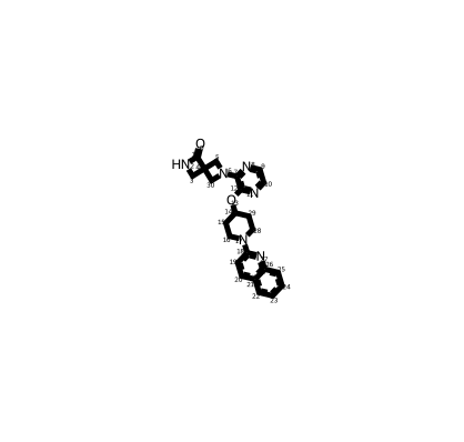 O=C1NCC12CN(c1nccnc1OC1CCN(c3ccc4ccccc4n3)CC1)C2